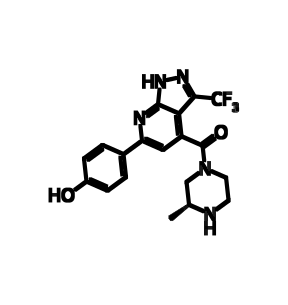 C[C@H]1CN(C(=O)c2cc(-c3ccc(O)cc3)nc3[nH]nc(C(F)(F)F)c23)CCN1